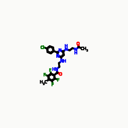 CC(=O)NCCNc1cc(NCCNC(=O)c2c(F)c(F)c(C)c(F)c2F)nc(-c2ccc(Cl)cc2)n1